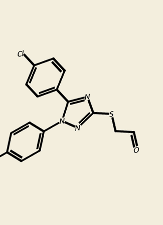 O=CCSc1nc(-c2ccc(Cl)cc2)n(-c2ccc(Cl)cc2)n1